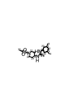 Cc1cc(C)c2nc(NC3CCN(C4OC(C)O4)CC3)[nH]c2c1